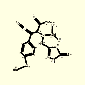 COC(=O)[C@H](C(=C=O)c1ccc(OC(C)(C)C)cc1)N(Nc1n[nH]c(=S)s1)[SiH](C)C